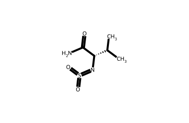 CC(C)[C@H](N=S(=O)=O)C(N)=O